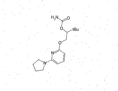 CC(C)(C)C(COc1cccc(N2CCCC2)n1)OC(N)=O